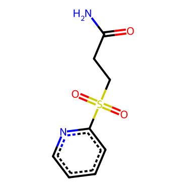 NC(=O)CCS(=O)(=O)c1ccccn1